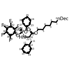 CCCCCCCCCCCCCCCCOC(=O)[C@H](Cc1ccccc1)N[P@](=O)(Oc1ccccc1)Oc1c(F)c(F)c(F)c(F)c1F